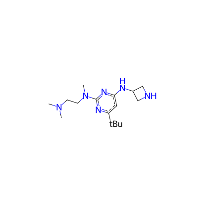 CN(C)CCN(C)c1nc(NC2CNC2)cc(C(C)(C)C)n1